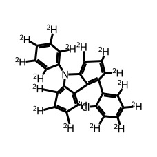 [2H]c1c([2H])c([2H])c(-n2c3c([2H])c([2H])c([2H])c([2H])c3c3c(-c4c([2H])c([2H])c([2H])c([2H])c4Cl)c([2H])c([2H])c([2H])c32)c([2H])c1[2H]